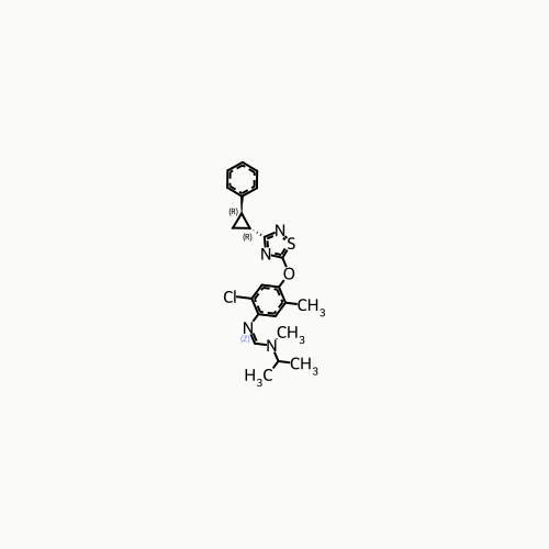 Cc1cc(/N=C\N(C)C(C)C)c(Cl)cc1Oc1nc([C@@H]2C[C@H]2c2ccccc2)ns1